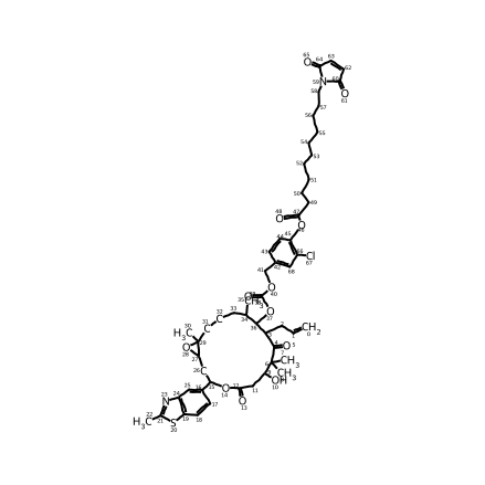 C=CCC1C(=O)C(C)(C)C(O)CC(=O)OC(c2ccc3sc(C)nc3c2)CC2OC2(C)CCCC(C)C1OC(=O)OCc1ccc(OC(=O)CCCCCCCCCCN2C(=O)C=CC2=O)c(Cl)c1